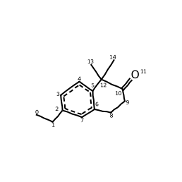 CCc1ccc2c(c1)CCC(=O)C2(C)C